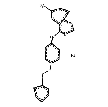 Cl.O=[N+]([O-])c1ccc2ncnc(Nc3ccc(OCc4ccccc4)cc3)c2c1